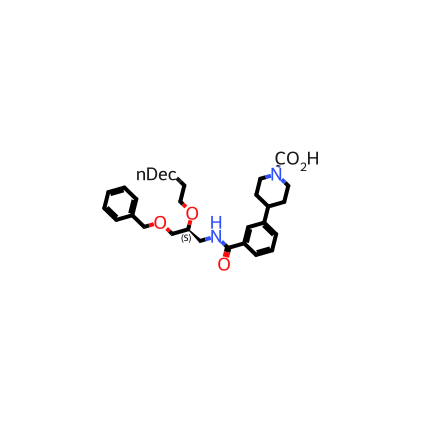 CCCCCCCCCCCCO[C@@H](CNC(=O)c1cccc(C2CCN(C(=O)O)CC2)c1)COCc1ccccc1